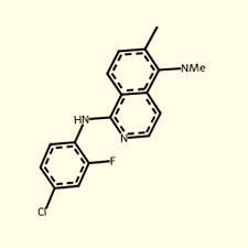 CNc1c(C)ccc2c(Nc3ccc(Cl)cc3F)nccc12